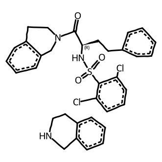 O=C([C@@H](CCc1ccccc1)NS(=O)(=O)c1c(Cl)cccc1Cl)N1CCc2ccccc2C1.c1ccc2c(c1)CCNC2